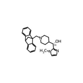 Cn1ccnc1[C@@H](O)C1CCN(CC23CC(c4ccccc42)c2ccccc23)CC1